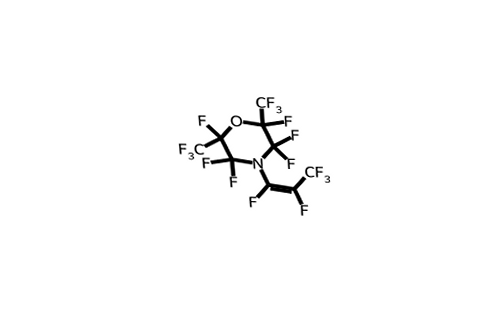 F/C(=C(\F)C(F)(F)F)N1C(F)(F)C(F)(C(F)(F)F)OC(F)(C(F)(F)F)C1(F)F